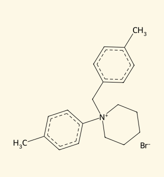 Cc1ccc(C[N+]2(c3ccc(C)cc3)CCCCC2)cc1.[Br-]